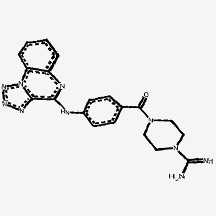 N=C(N)N1CCN(C(=O)c2ccc(Nc3nc4ccccc4n4nnnc34)cc2)CC1